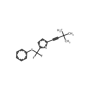 CC(C)(C)C#Cc1ccc(C(F)(F)Sc2ccccc2)s1